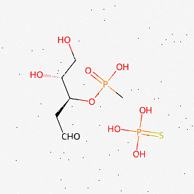 CP(=O)(O)O[C@@H](CC=O)[C@H](O)CO.OP(O)(O)=S